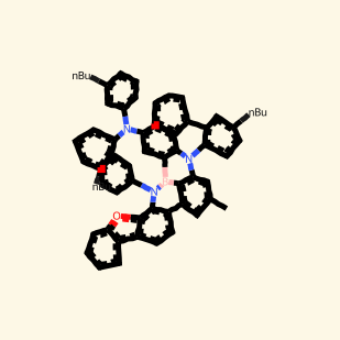 CCCCc1cccc(N(c2cccc(CCCC)c2)c2ccc3c(c2)B2c4c(cc(C)cc4N3c3ccc(CCCC)cc3-c3ccccc3)-c3ccc4c(oc5ccccc54)c3N2c2ccccc2)c1